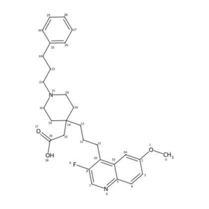 COc1ccc2ncc(F)c(CCCC3(CC(=O)O)CCN(CCCc4ccccc4)CC3)c2c1